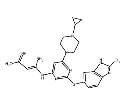 CC(=N)/C=C(\N)Nc1cc(N2CCN(C3CC3)CC2)nc(Sc2ccc3nc(C(F)(F)F)[nH]c3c2)n1